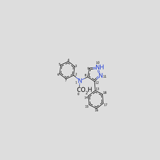 O=C(O)N(c1ccccc1)c1c[nH]nc1-c1ccccc1